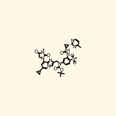 Cc1ccnc([C@H]2C[C@@H]2C(=O)Nc2cc(N(Cc3cn4cc(C5CC5)cc(N5CC(=O)N(C)C5=O)c4n3)C(=O)OC(C)(C)C)ccc2S(C)(=O)=O)n1